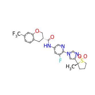 C[C@]1(c2cn(-c3ncc(NC(=O)[C@H]4COc5cc(C(F)(F)F)ccc5C4)cc3F)cn2)CCCS1(=O)=O